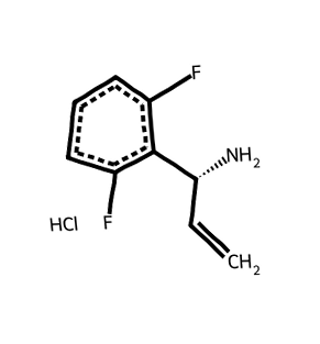 C=C[C@@H](N)c1c(F)cccc1F.Cl